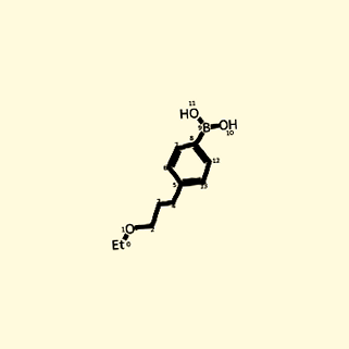 CCOCCCc1ccc(B(O)O)cc1